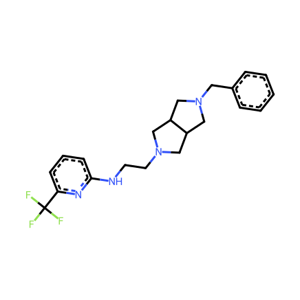 FC(F)(F)c1cccc(NCCN2CC3CN(Cc4ccccc4)CC3C2)n1